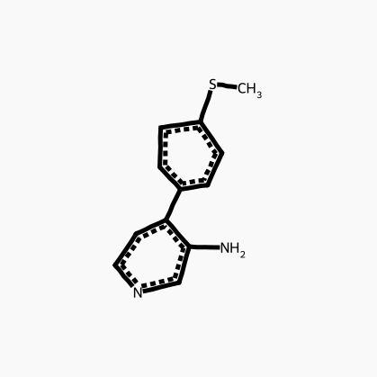 CSc1ccc(-c2ccncc2N)cc1